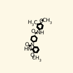 COc1ccc(NC(=O)[C@H]2CC[C@@H](n3c(=O)[nH]c4c(OC)cccc43)CC2)cc1C